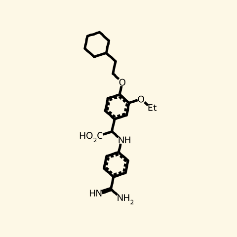 CCOc1cc(C(Nc2ccc(C(=N)N)cc2)C(=O)O)ccc1OCCC1CCCCC1